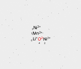 [Li+].[Mn+2].[Ni+2].[Ni+2].[O-2]